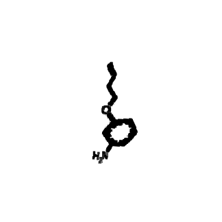 C=CCCOc1cccc(N)c1